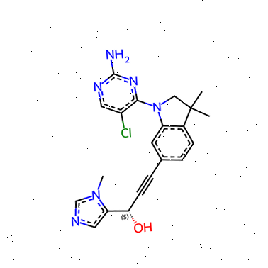 Cn1cncc1[C@@H](O)C#Cc1ccc2c(c1)N(c1nc(N)ncc1Cl)CC2(C)C